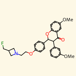 COc1cccc(C2C(=O)c3cc(OC)ccc3OC2c2ccc(OCCN3CC(CF)C3)cc2)c1